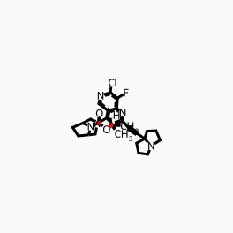 CC(C)(C)OC(=O)N1C2CCC1CN(c1nc(C#CC34CCCN3CCC4)nc3c(F)c(Cl)ncc13)C2